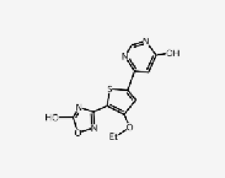 CCOc1cc(-c2cc(O)ncn2)sc1-c1noc(O)n1